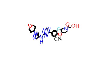 N#Cc1cc(-c2ncnc(Nc3cnn(C4CCOCC4)c3)n2)ccc1OC1CCN(C(=O)CO)C[C@H]1F